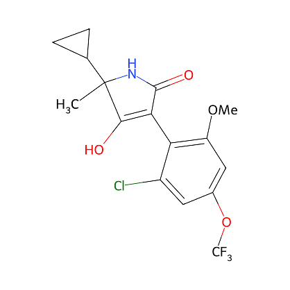 COc1cc(OC(F)(F)F)cc(Cl)c1C1=C(O)C(C)(C2CC2)NC1=O